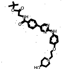 CC(C)(C)OC(=O)CNC(=O)c1ccc(-c2cnc(Nc3ccc(OCCN4CCC(O)CC4)cc3)nc2)cc1